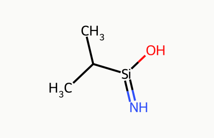 CC(C)[Si](=N)O